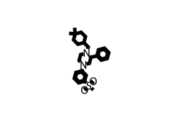 CC1(C)CCC(CN2CCN(c3cccc(S(C)(=O)=O)c3)CC2c2ccccc2)CC1